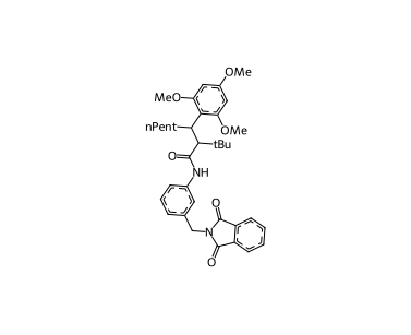 CCCCCC(c1c(OC)cc(OC)cc1OC)C(C(=O)Nc1cccc(CN2C(=O)c3ccccc3C2=O)c1)C(C)(C)C